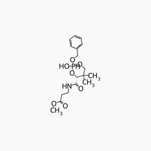 COC(=O)CCNC(=O)[C@@H]1O[PH](O)(OCc2ccccc2)OCC1(C)C